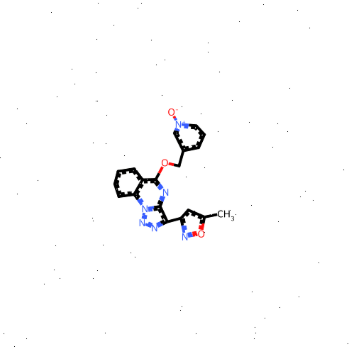 Cc1cc(-c2nnn3c2nc(OCc2ccc[n+]([O-])c2)c2ccccc23)no1